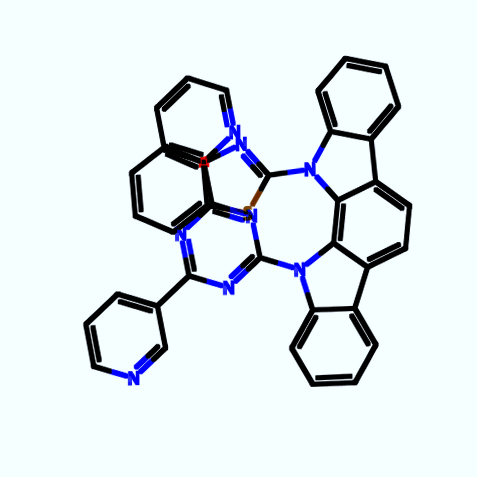 c1ccc(-c2nc(-c3cccnc3)nc(-n3c4ccccc4c4ccc5c6ccccc6n(-c6nc7ccccc7s6)c5c43)n2)nc1